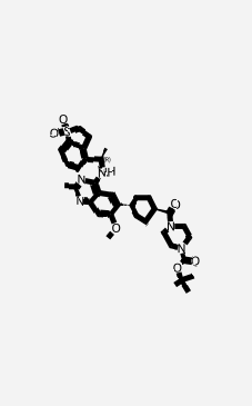 COc1cc2nc(C)nc(N[C@H](C)c3cccc4c3CCS4(=O)=O)c2cc1[C@H]1CC[C@H](C(=O)N2CCN(C(=O)OC(C)(C)C)CC2)CC1